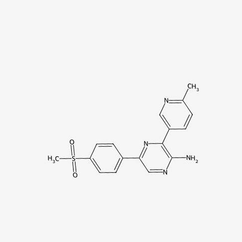 Cc1ccc(-c2nc(-c3ccc(S(C)(=O)=O)cc3)cnc2N)cn1